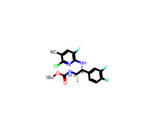 C[C@H](NC(=O)OC(C)(C)C)[C@H](Nc1nc(Cl)c(C#N)cc1F)c1ccc(F)c(F)c1